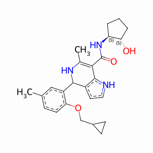 CC1=C(C(=O)N[C@H]2CCC[C@@H]2O)c2[nH]ccc2C(c2cc(C)ccc2OCC2CC2)N1